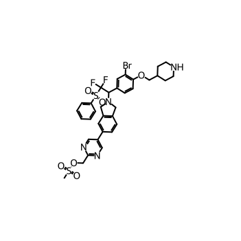 CS(=O)(=O)OCc1ncc(-c2ccc3c(c2)CN(C(c2ccc(OCC4CCNCC4)c(Br)c2)C(F)(F)S(=O)(=O)c2ccccc2)C3)cn1